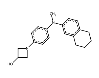 CN(c1ccc(N2CC(O)C2)cc1)c1ccc2c(c1)CCCC2